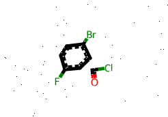 Fc1ccc(Br)cc1.O=CCl